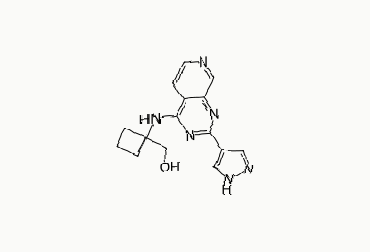 OCC1(Nc2nc(-c3cn[nH]c3)nc3cnccc23)CCC1